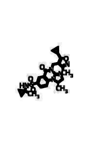 Cc1noc(C2CC2)c1CN1C(=O)c2cc(S(=O)(=O)NC3(C)CC3)ccc2N2C1=NC[C@H]2C